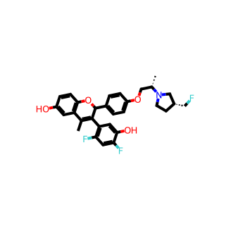 CC1=C(c2cc(O)c(F)cc2F)C(c2ccc(OC[C@H](C)N3CC[C@@H](CF)C3)cc2)Oc2ccc(O)cc21